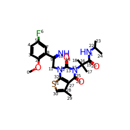 COc1ccc(F)cc1C(=N)Cn1c(=O)n(C(C)(C)C(=O)NC(C)C)c(=O)c2c(C)csc21